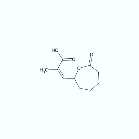 CC(=CC1CCCCC(=O)O1)C(=O)O